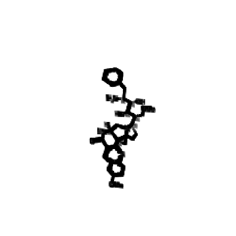 COC[C@@H]([C@@H](O)[C@@H](O)[C@H](N)Cc1ccccc1)[C@@H]1CCC23C[C@@]24c2nc5ccc(OC)cc5cc2C(=O)N[C@H]4CN13